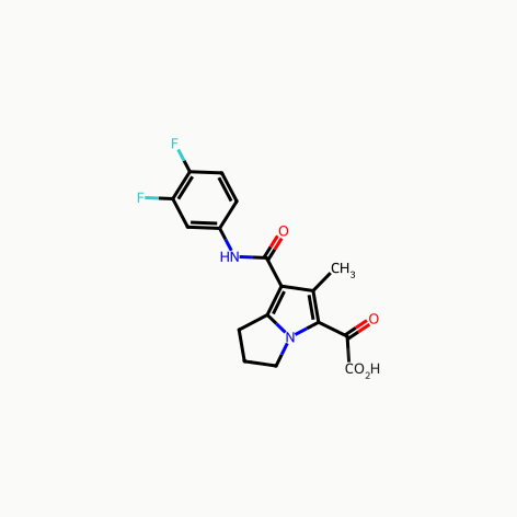 Cc1c(C(=O)Nc2ccc(F)c(F)c2)c2n(c1C(=O)C(=O)O)CCC2